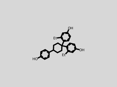 CCc1cc(O)ccc1C1(c2ccc(O)cc2CC)CCC(c2ccc(O)cc2)CC1